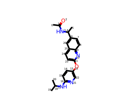 CC(=O)NC(C)c1ccc2nc(Oc3ccc(NC(C)C)nc3)ccc2c1